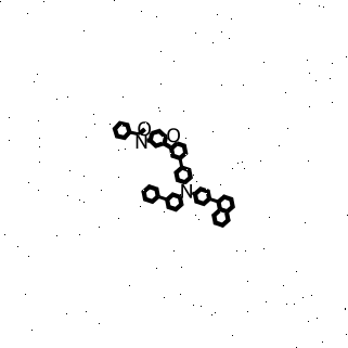 c1ccc(-c2cccc(N(c3ccc(-c4ccc5oc6cc7oc(-c8ccccc8)nc7cc6c5c4)cc3)c3ccc(-c4cccc5ccccc45)cc3)c2)cc1